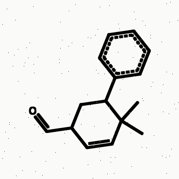 CC1(C)C=CC(C=O)CC1c1ccccc1